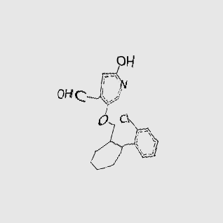 O=Cc1cc(O)ncc1OCC1CCCCC1c1ccccc1Cl